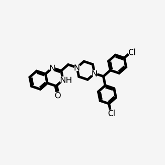 O=c1[nH]c(CN2CCN(C(c3ccc(Cl)cc3)c3ccc(Cl)cc3)CC2)nc2ccccc12